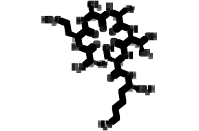 CC(C)[C@H](N)C(=O)N[C@@H](CCC(=O)O)C(=O)N[C@@H](C)C(=O)N[C@H](C(=O)N[C@H](C(=O)N[C@@H](CO)C(=O)N[C@@H](CCCCN)C(=O)O)[C@@H](C)O)C(C)C